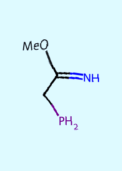 COC(=N)CP